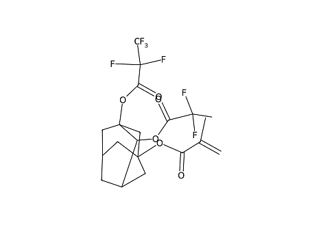 C=C(C)C(=O)OC12CC3CC(C1)C(OC(=O)C(C)(F)F)C(OC(=O)C(F)(F)C(F)(F)F)(C3)C2